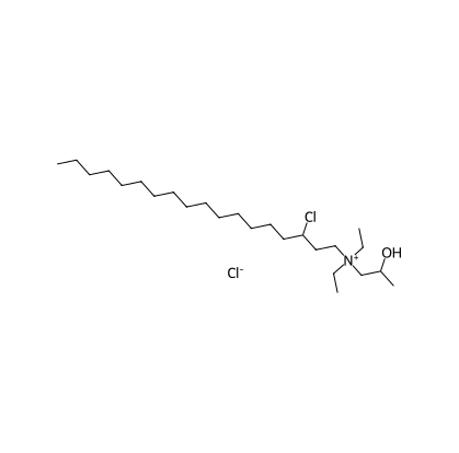 CCCCCCCCCCCCCCCC(Cl)CC[N+](CC)(CC)CC(C)O.[Cl-]